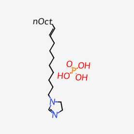 CCCCCCCCC=CCCCCCCCCN1C=NCC1.O=P(O)(O)O